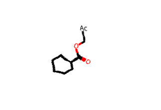 CC(=O)COC(=O)C1CCCCC1